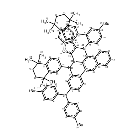 CC(C)(C)c1ccc(N(c2ccc(C(C)(C)C)cc2)c2ccc3c(c2)N(c2ccc4c(c2)C(C)(C)CCC4(C)C)B2c4oc5cc6c(cc5c4N(c4ccc(C(C)(C)C)cc4-c4ccccc4)c4c2c-3cc2ccccc42)C(C)(C)CCC6(C)C)cc1